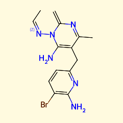 C=C1N=C(C)C(Cc2ccc(Br)c(N)n2)=C(N)N1/N=C\C